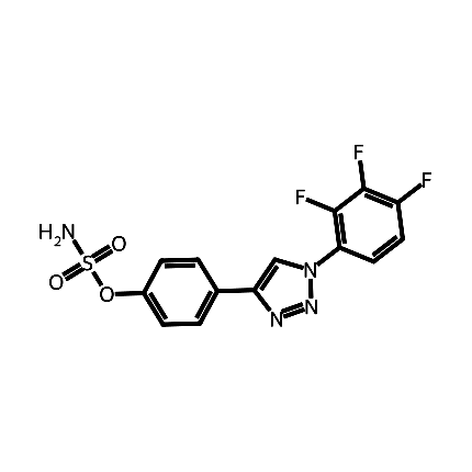 NS(=O)(=O)Oc1ccc(-c2cn(-c3ccc(F)c(F)c3F)nn2)cc1